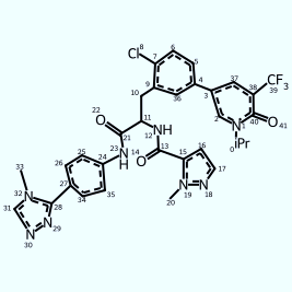 CC(C)n1cc(-c2ccc(Cl)c(CC(NC(=O)c3ccnn3C)C(=O)Nc3ccc(-c4nncn4C)cc3)c2)cc(C(F)(F)F)c1=O